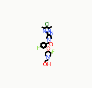 Cc1nc2c3c(nn2c(C)c1Cl)CN(C(=O)c1ccc(F)cc1OC1CCN(CCO)CC1F)C3